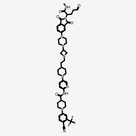 CNC(=O)C(CCC=O)N1C(=O)c2ccc(N3CCN(C4CN(CCC5CCN(c6ccc(NC(=O)C7CCN(c8ccc(C#N)c(C(F)(F)F)c8)CC7)nc6)CC5)C4)CC3)cc2C1=O